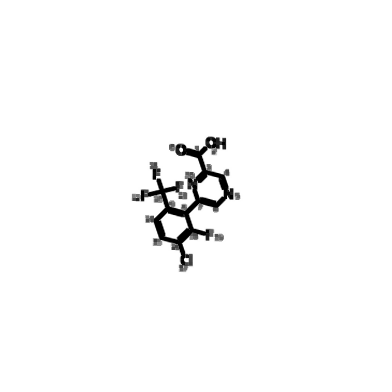 O=C(O)c1cncc(-c2c(C(F)(F)F)ccc(Cl)c2F)n1